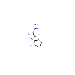 NC1(c2c(Cl)cc(C(F)(F)F)cc2Cl)N=NC(c2ncon2)=C1S(=O)(=O)C(F)(F)F